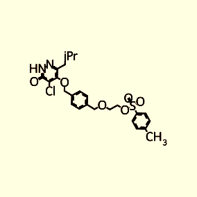 Cc1ccc(S(=O)(=O)OCCOCc2ccc(COc3c(CC(C)C)n[nH]c(=O)c3Cl)cc2)cc1